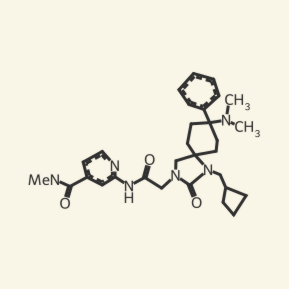 CNC(=O)c1ccnc(NC(=O)CN2CC3(CCC(c4ccccc4)(N(C)C)CC3)N(CC3CCC3)C2=O)c1